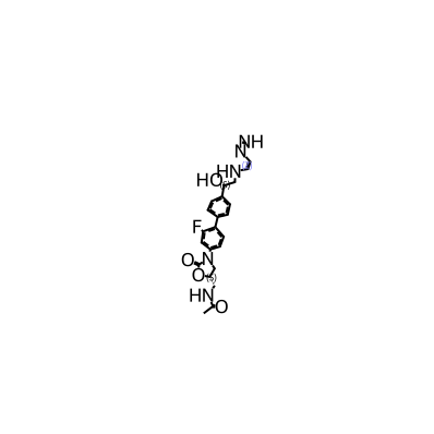 CC(=O)NC[C@H]1CN(c2ccc(-c3ccc([C@H](O)CN/C=C\N=N)cc3)c(F)c2)C(=O)O1